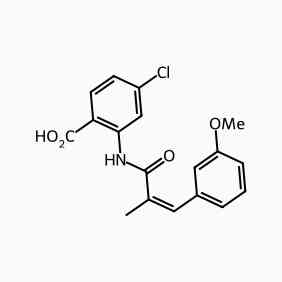 COc1cccc(C=C(C)C(=O)Nc2cc(Cl)ccc2C(=O)O)c1